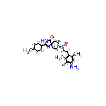 Cc1cc(N)c(I)c(C)c1CC[S+]([O-])N1CCC2(CC1)N=C(C1CCC(C)CC1)NC2=O